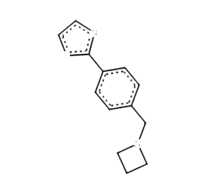 c1csc(-c2ccc(CN3CCC3)cc2)n1